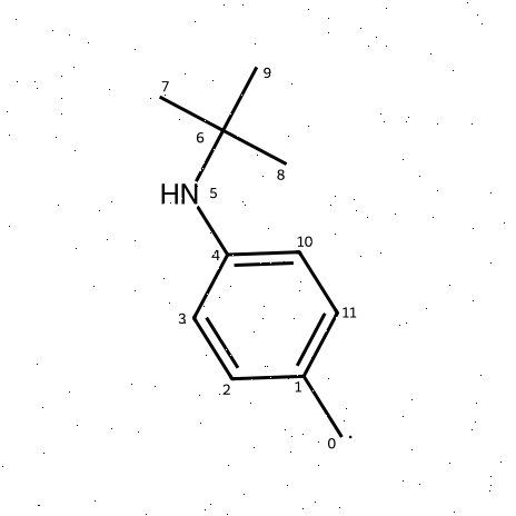 [CH2]c1ccc(NC(C)(C)C)cc1